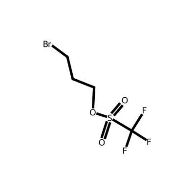 O=S(=O)(OCCCBr)C(F)(F)F